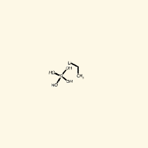 O[Si](O)(O)O.[Li][CH2]C